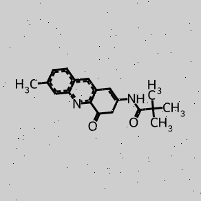 Cc1ccc2cc3c(nc2c1)C(=O)CC(NC(=O)C(C)(C)C)=C3